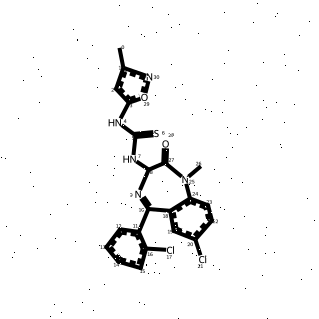 Cc1cc(NC(=S)NC2N=C(c3ccccc3Cl)c3cc(Cl)ccc3N(C)C2=O)on1